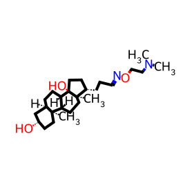 CN(C)CCO/N=C/CC[C@H]1CC[C@]2(O)[C@@H]3CC[C@@H]4C[C@@H](O)CC[C@]4(C)[C@H]3CC[C@]12C